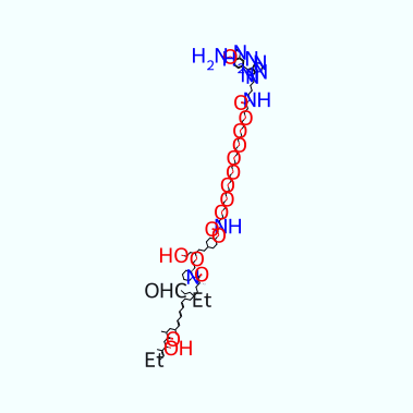 C=Nc1cc(-c2nn(CCCCNC(=O)CCOCCOCCOCCOCCOCCOCCOCCOCCNC(=O)OC3CCC(CCC(CCO)OCC[C@@H]4CCCCN4C(=O)[C@H](C)CC[C@](CC)(CCC=O)CC/C=C/C=C/C=C/C(C)CC(C)C(=O)CC(O)/C(C)=C/CC)CC3)c3ncnc(N)c23)ccc1OCN